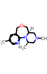 C[C@@H]1CN(C)C[C@@H]2COCc3cc(C(F)(F)F)cnc3N21